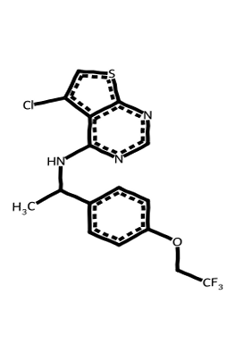 CC(Nc1ncnc2scc(Cl)c12)c1ccc(OCC(F)(F)F)cc1